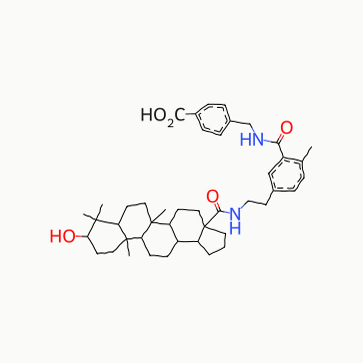 Cc1ccc(CCNC(=O)C23CCCC2C2CCC4C(C)(CCC5C(C)(C)C(O)CCC54C)C2CC3)cc1C(=O)NCc1ccc(C(=O)O)cc1